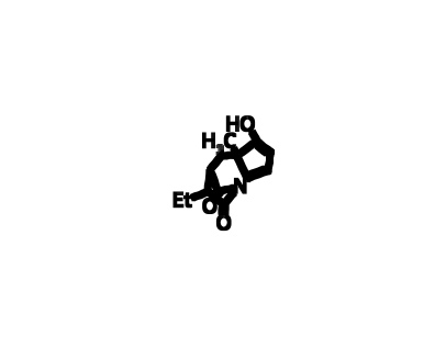 CCC1C(=O)N2C(=O)C1CC1(C)C(O)=CC=C21